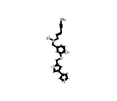 CCN(CC=CC#CC(C)(C)C)Cc1cccc(OCc2cc(-c3ccsc3)cs2)c1.Cl